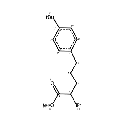 COC(=O)C(CCCc1ccc(C(C)(C)C)cc1)C(C)C